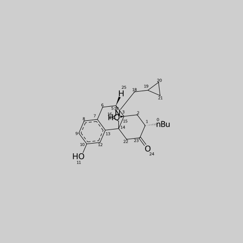 CCCC[C@H]1C[C@@]2(O)[C@H]3Cc4ccc(O)cc4C2(CCN3CC2CC2)CC1=O